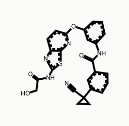 N#CC1(c2cccc(C(=O)Nc3cccc(Oc4ccc5nc(NC(=O)CO)sc5n4)c3)c2)CC1